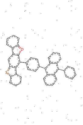 c1ccc(-c2c3ccccc3c(-c3ccc(-c4c5oc6ccccc6c5cc5sc6ccccc6c45)cc3)c3ccccc23)cc1